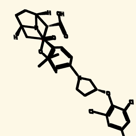 Cc1cc(Cl)c(O[C@@H]2CCN(c3ccc([C@H]4C[C@@H]5CC[C@H]([C@@H]4C(=O)O)N5C(=O)OC(C)(C)C)cn3)C2)c(Cl)c1